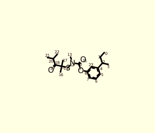 CCC(C)c1cccc(OC(=O)N(C)SC(C)(C)C(=O)C(C)C)c1